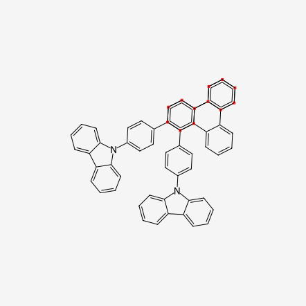 c1ccc(-c2ccccc2-c2ccccc2-c2ccccc2-c2ccc(-c3ccc(-n4c5ccccc5c5ccccc54)cc3)c(-c3ccc(-n4c5ccccc5c5ccccc54)cc3)c2)cc1